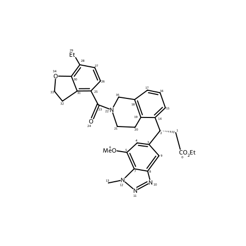 CCOC(=O)C[C@H](c1cc(OC)c2c(c1)nnn2C)c1cccc2c1CCN(C(=O)c1ccc(CC)c3c1CCO3)C2